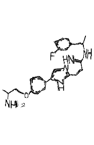 CC(N)COc1ccc(-c2cnc(/C=C\C(=N)NC(C)c3cccc(F)c3)[nH]2)cc1